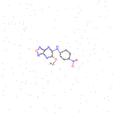 COc1nc2nonc2nc1Nc1ccc([N+](=O)[O-])cc1